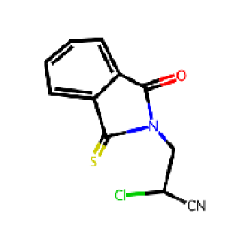 N#CC(Cl)CN1C(=O)c2ccccc2C1=S